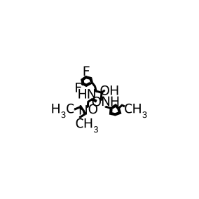 CCCN(CCC)C(=O)CC(=O)NC(Cc1cc(F)cc(F)c1)C(O)CNCc1cccc(CC)c1